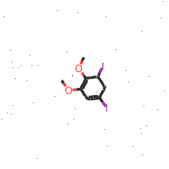 COC1=C(OC)C(I)CC(I)=C1